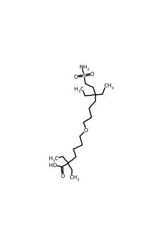 CCC(CC)(CCCCOCCCCC(CC)(CC)C(=O)O)CCS(N)(=O)=O